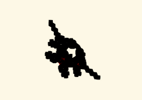 CCCCCCCC[Si](C)(C)c1cc(C)c2c(c1)-c1cc(C(C)(C)CC(C)(C)C)cc(-n3c4cc(C(C)(C)C)ccc4c4ccc(C(C)(C)C)cc43)c1[O][Zr]([CH3])([CH3])[O]c1c(cc(C(C)(C)CC(C)(C)C)cc1-n1c3cc(C(C)(C)C)ccc3c3ccc(C(C)(C)C)cc31)-c1cc([Si](C)(C)CCCCCCCC)cc(C)c1OCCCO2